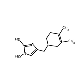 CC1=C(C)CC(Cc2cn(O)c(S)n2)CC1